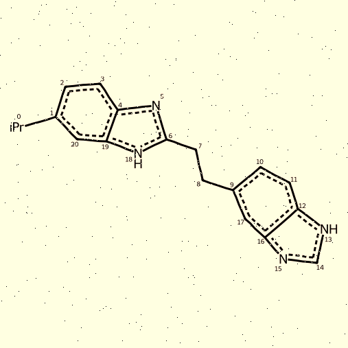 CC(C)c1ccc2nc(CCc3ccc4[nH]cnc4c3)[nH]c2c1